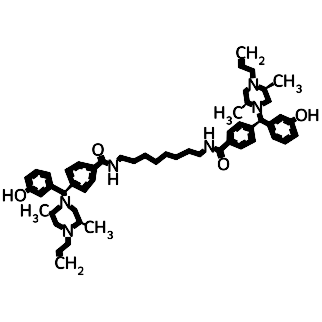 C=CCN1C[C@@H](C)N([C@H](c2ccc(C(=O)NCCCCCCCCNC(=O)c3ccc([C@H](c4cccc(O)c4)N4C[C@H](C)N(CC=C)C[C@H]4C)cc3)cc2)c2cccc(O)c2)C[C@@H]1C